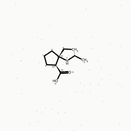 CCN[C@@]1(CC)CCC[C@@H]1C(=O)O